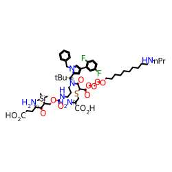 CCCNCCCCCCCCCCOOOOC(=O)C(SC[C@H](N)C(=O)O)C(=O)N(CCCNC(=O)OCC(C(=O)[C@@H](N)CCC(=O)O)[Si](C)(C)C)[C@@H](c1cc(-c2cc(F)ccc2F)cn1Cc1ccccc1)C(C)(C)C